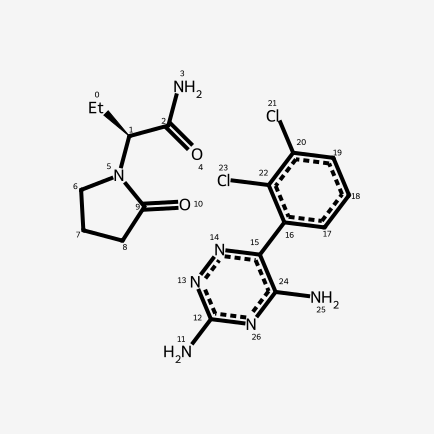 CC[C@@H](C(N)=O)N1CCCC1=O.Nc1nnc(-c2cccc(Cl)c2Cl)c(N)n1